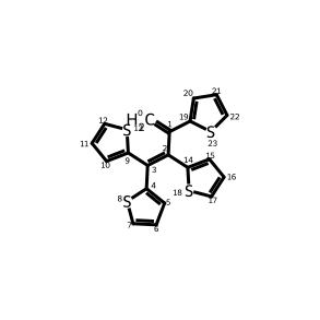 C=C(C(=C(c1cccs1)c1cccs1)c1cccs1)c1cccs1